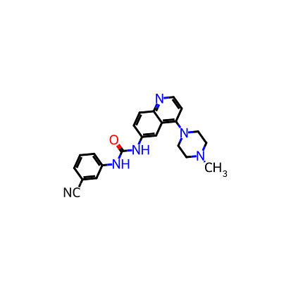 CN1CCN(c2ccnc3ccc(NC(=O)Nc4cccc(C#N)c4)cc23)CC1